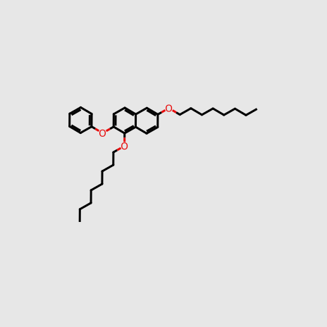 CCCCCCCCOc1ccc2c(OCCCCCCCC)c(Oc3ccccc3)ccc2c1